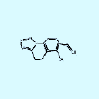 C=Cc1ccc2c(c1C)CCc1nnnn1-2